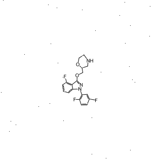 Fc1ccc(F)c(-n2nc(OCC3CNCCO3)c3c(F)cccc32)c1